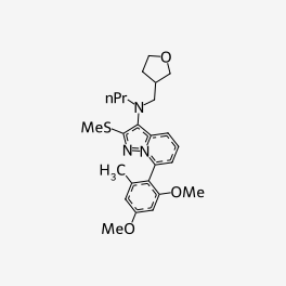 CCCN(CC1CCOC1)c1c(SC)nn2c(-c3c(C)cc(OC)cc3OC)cccc12